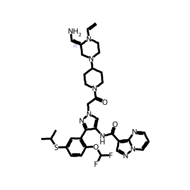 C=CN1CCN(C2CCN(C(=O)Cn3cc(NC(=O)c4cnn5cccnc45)c(-c4cc(SC(C)C)ccc4OC(F)F)n3)CC2)C/C1=C/N